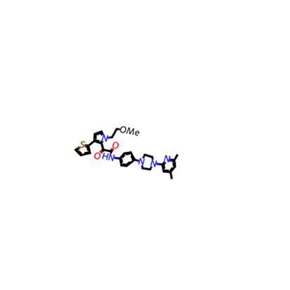 COCCn1ccc(-c2cccs2)c1C(=O)C(=O)Nc1ccc(N2CCN(c3cc(C)cc(C)n3)CC2)cc1